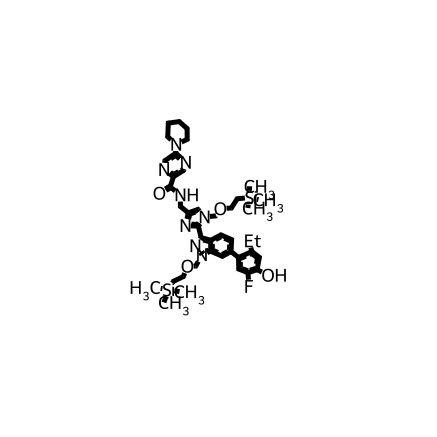 CCc1cc(O)c(F)cc1-c1ccc2c(-c3nc(CNC(=O)c4cnc(N5CCCCC5)cn4)cn3COCC[Si](C)(C)C)nn(COCC[Si](C)(C)C)c2c1